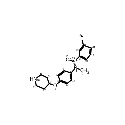 CN(c1ccc(OC2CCNCC2)cc1)[S+]([O-])c1cccc(F)c1